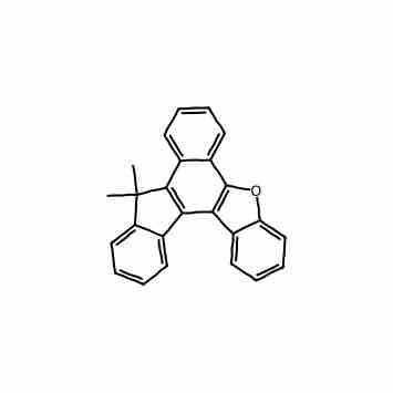 CC1(C)c2ccccc2-c2c1c1ccccc1c1oc3ccccc3c21